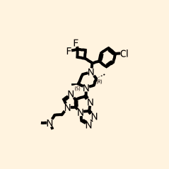 C[C@@H]1CN(c2nc3nncn3c3c2ncn3CCN(C)C)[C@@H](C)CN1C(c1ccc(Cl)cc1)C1CC(F)(F)C1